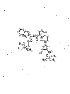 CC(C)(C)OC(=O)c1nc(N2CCc3cccc(C(=O)NC(OCC[Si](C)(C)C)c4nc5ccccc5s4)c3C2)sc1I